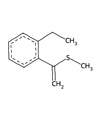 C=C(SC)c1ccccc1CC